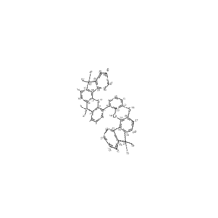 CC1(C)c2cccc(-c3cccc4c3Oc3c(ccc5c3-c3ccccc3C5(C)C)S4)c2Sc2c1ccc1c2-c2ccccc2C1(C)C